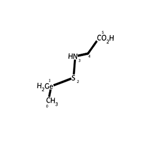 [CH3][GeH2][S]NCC(=O)O